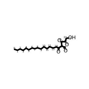 CCCCCCCCCCCCCCCC(=O)C1C(=O)OC(CO)C1=O